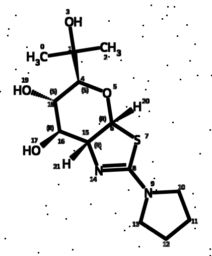 CC(C)(O)[C@H]1O[C@@H]2SC(N3CCCC3)=N[C@@H]2[C@@H](O)[C@@H]1O